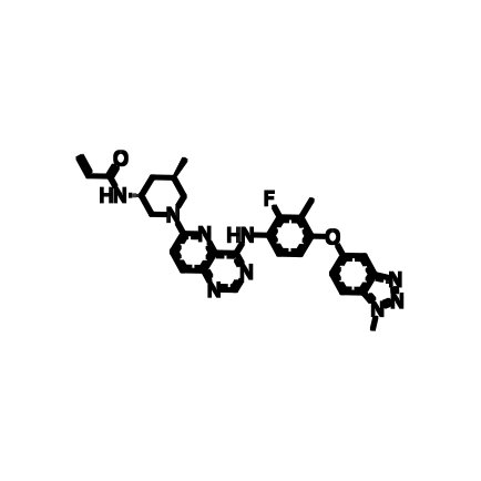 C=CC(=O)N[C@@H]1C[C@@H](C)CN(c2ccc3ncnc(Nc4ccc(Oc5ccc6c(c5)nnn6C)c(C)c4F)c3n2)C1